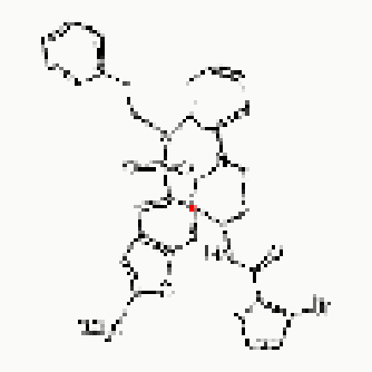 CCOC(=O)c1cc2cc(S(=O)(=O)N(CCc3ccccc3)c3ccccc3N3CCC(NC(=O)c4sccc4Br)CC3)ccc2o1